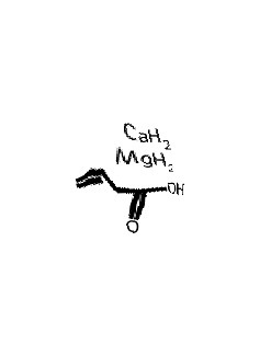 C=CC(=O)O.[CaH2].[MgH2]